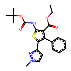 CCOC(=O)c1c(NC(=O)OC(C)(C)C)sc(-c2ccn(C)n2)c1-c1ccccc1